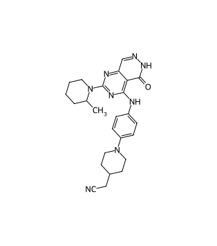 CC1CCCCN1c1nc(Nc2ccc(N3CCC(CC#N)CC3)cc2)c2c(=O)[nH]ncc2n1